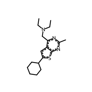 CCN(CC)Cc1nc(C)nc2sc(C3CCCCC3)cc12